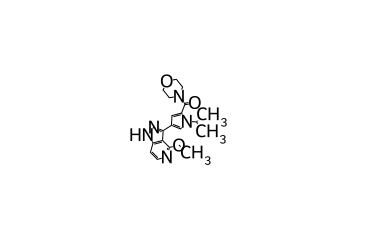 COc1nccc2[nH]nc(-c3cc(C(=O)N4CCOCC4)n(C(C)C)c3)c12